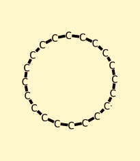 [CH]1CC[CH]CCCCCCCCCCCCCCCC1